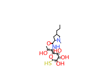 CCCC1CC(C(=O)N[C@@H]([C@H]2OC(S)[C@H](O)[C@@H](O)[C@H]2O)[C@H](C)O)N(C)C1